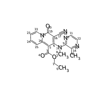 CCOC(=O)c1c(N(C)c2nccnc2C)c(C#N)c(=O)n2ccccc12